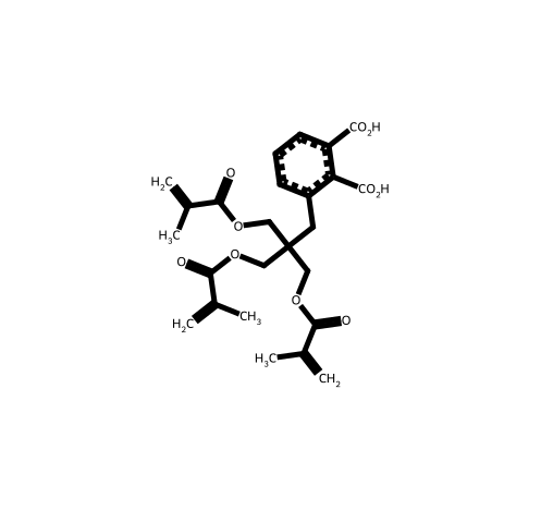 C=C(C)C(=O)OCC(COC(=O)C(=C)C)(COC(=O)C(=C)C)Cc1cccc(C(=O)O)c1C(=O)O